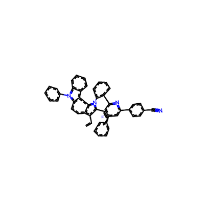 C=Cc1c(/C=C\C)n(-c2ccccc2-c2cc(-c3ccccc3)cc(-c3ccc(C#N)cc3)n2)c2c1ccc1c2c2ccccc2n1-c1ccccc1